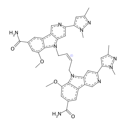 COc1cc(C(N)=O)cc2c3cnc(-c4cc(C)nn4C)cc3n(C/C=C\Cn3c4cc(-c5cc(C)nn5C)ncc4c4cc(C(N)=O)cc(OC)c43)c12